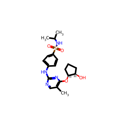 Cc1cnc(Nc2ccc(S(=O)(=O)NC(C)C)cc2)nc1O[C@H]1CCC[C@H]1O